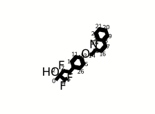 CC(O)(C(F)F)C(F)Cc1ccc(OCc2ccc3ccccc3n2)cc1